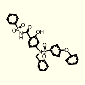 O=C(NS(=O)(=O)c1ccccc1)c1ccc(N(Cc2ccccc2)S(=O)(=O)c2ccc(Oc3ccccc3)cc2)cc1O